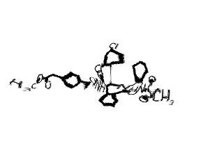 COC(=O)Cc1ccc(CONC(=O)[C@H]2c3ccccc3C(=O)N([C@H]3CCCC[C@@H]3NS(C)(=O)=O)[C@@H]2C2CC=C(Cl)C=C2Cl)cc1